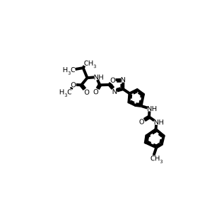 COC(=O)C(NC(=O)c1nc(-c2ccc(NC(=O)Nc3ccc(C)cc3)cc2)no1)C(C)C